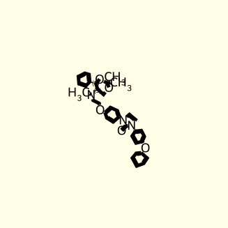 CN(CCOc1ccc(-n2ccn(-c3ccc(Oc4ccccc4)cc3)c2=O)cc1)[C@H]1COC(C)(C)O[C@H]1c1ccccc1